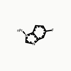 CCCn1cnc2cc(F)ccc21